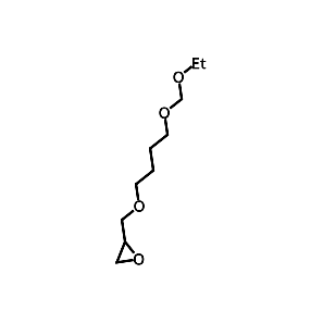 CCOCOCCCCOCC1CO1